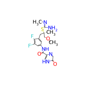 C/N=C(/N)S[C@@](C)(COC)Cc1cc(NC(=O)c2c[nH]c(=O)cn2)cc(F)c1F